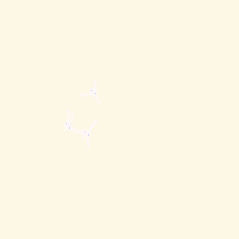 CCCCC1N(C)C=NN1C